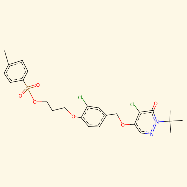 Cc1ccc(S(=O)(=O)OCCCOc2ccc(COc3cnn(C(C)(C)C)c(=O)c3Cl)cc2Cl)cc1